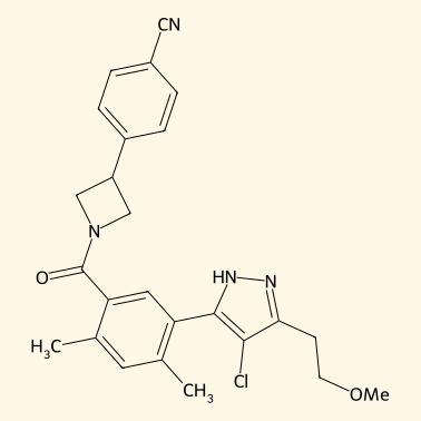 COCCc1n[nH]c(-c2cc(C(=O)N3CC(c4ccc(C#N)cc4)C3)c(C)cc2C)c1Cl